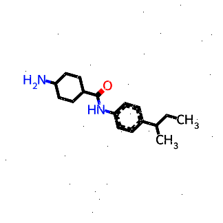 CCC(C)c1ccc(NC(=O)C2CCC(N)CC2)cc1